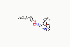 C[C@@H](NC[C@@H]1CN(C(=O)Oc2ccc(C(=O)O)cc2)C[C@@H]1c1cccc(C(F)(F)F)c1)c1cccc2ccccc12